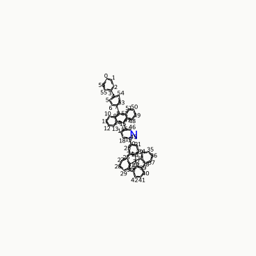 c1ccc(-c2ccc(-c3c4ccccc4c(-c4ccc(-c5ccc6c(c5)-c5ccccc5C65c6ccccc6-c6ccccc65)nc4)c4ccccc34)cc2)cc1